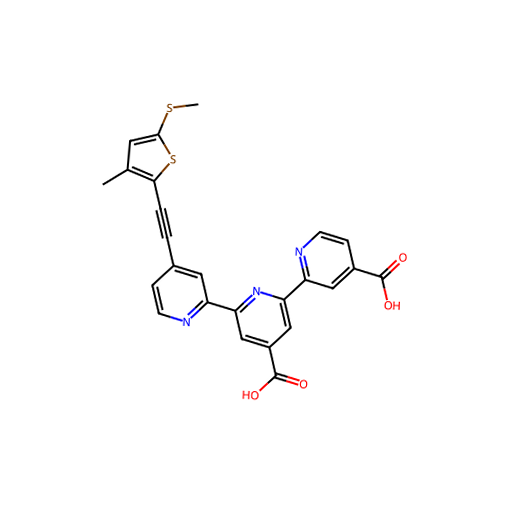 CSc1cc(C)c(C#Cc2ccnc(-c3cc(C(=O)O)cc(-c4cc(C(=O)O)ccn4)n3)c2)s1